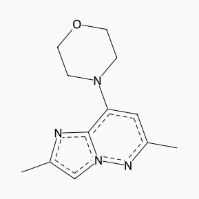 Cc1cn2nc(C)cc(N3CCOCC3)c2n1